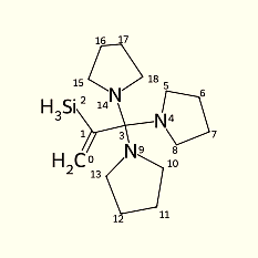 C=C([SiH3])C(N1CCCC1)(N1CCCC1)N1CCCC1